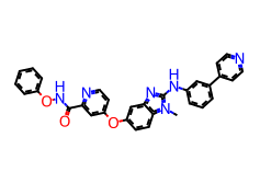 Cn1c(Nc2cccc(-c3ccncc3)c2)nc2cc(Oc3ccnc(C(=O)NOc4ccccc4)c3)ccc21